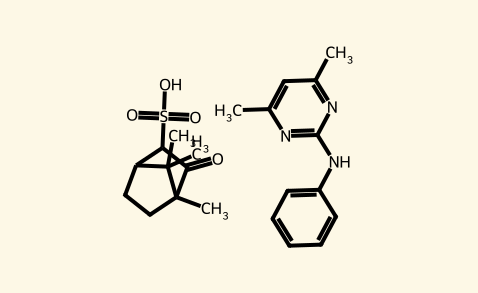 CC12CCC(C(S(=O)(=O)O)C1=O)C2(C)C.Cc1cc(C)nc(Nc2ccccc2)n1